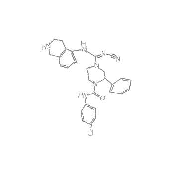 N#C/N=C(/Nc1cccc2c1CCNC2)N1CCN(C(=O)Nc2ccc(Cl)cc2)C(c2ccccc2)C1